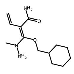 C=C/C(C(N)=O)=C(/OCC1CCCCC1)N(C)N